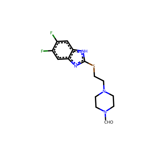 O=CN1CCN(CCSc2nc3cc(F)c(F)cc3[nH]2)CC1